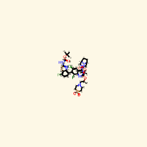 C[C@@H](CN1CCS(=O)(=O)CC1)Oc1nc(N2CC3CCC(C2)N3C(=O)OC(C)(C)C)c2cc(Cl)c(-c3ccc(F)c4sc(NC(=O)OC(C)(C)C)nc34)c(F)c2n1